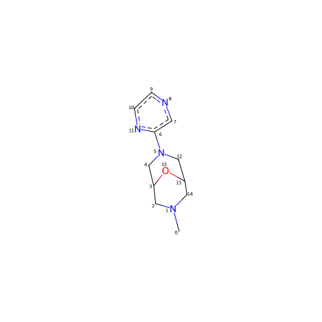 CN1CC2CN(c3cnccn3)CC(C1)O2